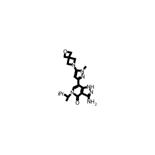 CC(C)C(C)n1cc(-c2cc(N3CC4(COC4)C3)n(C)n2)c2[nH]nc(N)c2c1=O